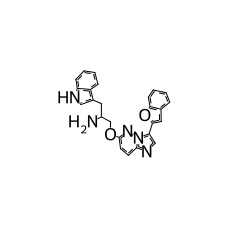 NC(COc1ccc2ncc(-c3cc4ccccc4o3)n2n1)Cc1c[nH]c2ccccc12